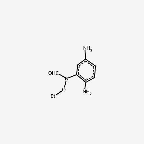 CCON(C=O)c1cc(N)ccc1N